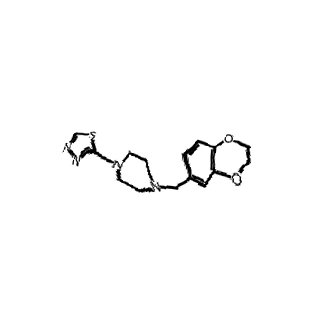 c1nnc(N2CCN(Cc3ccc4c(c3)OCCO4)CC2)s1